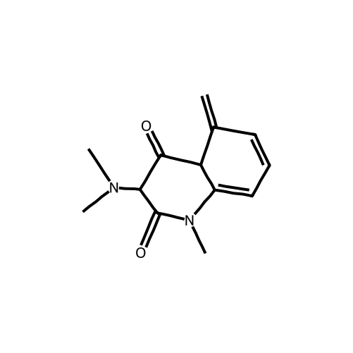 C=C1C=CC=C2C1C(=O)C(N(C)C)C(=O)N2C